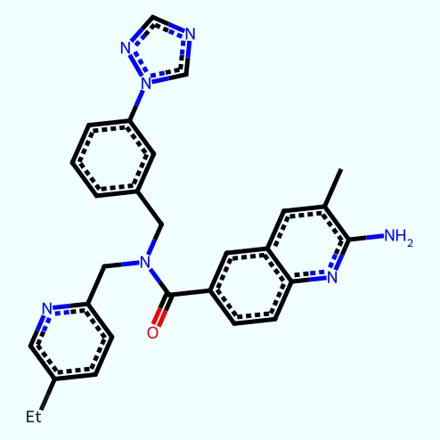 CCc1ccc(CN(Cc2cccc(-n3cncn3)c2)C(=O)c2ccc3nc(N)c(C)cc3c2)nc1